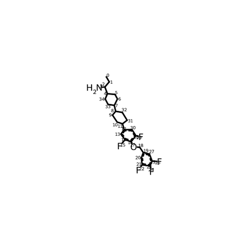 CCC(N)C1CCC(C2CCC(c3cc(F)c(OCc4cc(F)c(F)c(F)c4)c(F)c3)CC2)CC1